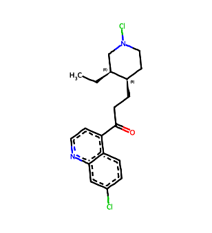 CC[C@H]1CN(Cl)CC[C@H]1CCC(=O)c1ccnc2cc(Cl)ccc12